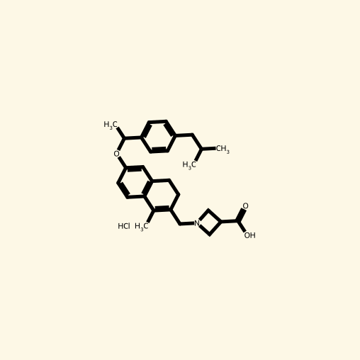 CC1=C(CN2CC(C(=O)O)C2)CCc2cc(OC(C)c3ccc(CC(C)C)cc3)ccc21.Cl